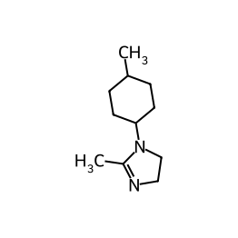 CC1=NCCN1C1CCC(C)CC1